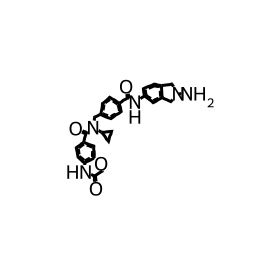 NN1Cc2ccc(NC(=O)c3ccc(CN(C(=O)c4ccc5c(c4)OCC(=O)N5)C4CC4)cc3)cc2C1